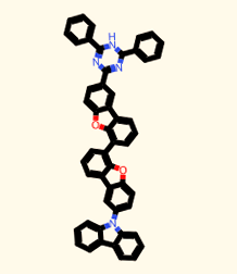 c1ccc(C2=NC(c3ccc4oc5c(-c6cccc7c6oc6ccc(-n8c9ccccc9c9ccccc98)cc67)cccc5c4c3)=NC(c3ccccc3)N2)cc1